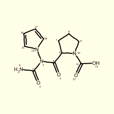 NC(=O)N(C(=O)C1CCCN1C(=O)O)n1cccc1